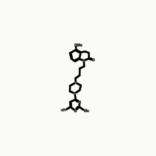 CCCc1cc(N2CCN(CCCCN3C(=O)CCc4c(OC)cccc43)CC2)nc(C(C)(C)C)n1